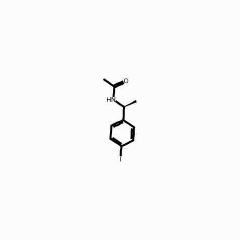 CC(=O)N[C@@H](C)c1ccc(I)cc1